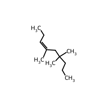 CCC=C(C)CC(C)(C)CCC